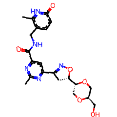 Cc1nc(C(=O)NCc2ccc(=O)[nH]c2C)cc(C2=NO[C@H]([C@H]3CO[C@H](CO)CO3)C2)n1